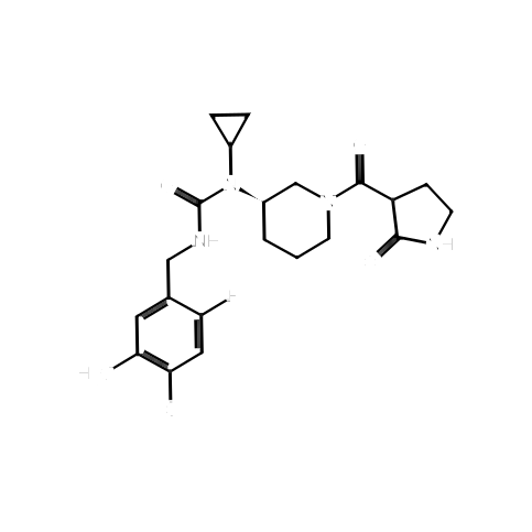 Cc1cc(CNC(=O)N(C2CC2)[C@@H]2CCCN(C(=O)C3CCNC3=O)C2)c(F)cc1Cl